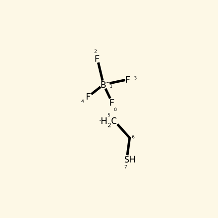 F[B-](F)(F)F.[CH2]CS